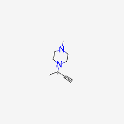 C#C[C](C)N1CCN(C)CC1